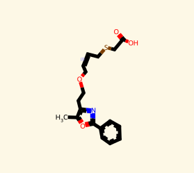 Cc1oc(-c2ccccc2)nc1CCOC/C=C\CSCC(=O)O